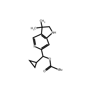 CC(C)(C)C(=O)OC(c1cc2c(cn1)C(C)(C)CN2)C1CC1